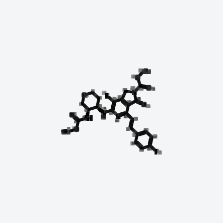 CC(C)(C)OC(=O)N[C@H]1COCC[C@H]1Nc1nc(/C=C/c2ccc(F)cc2)c2c(c1F)CN(C(=O)OC(C)(C)C)C2=O